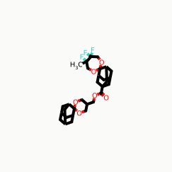 CC1(F)COC2(OCC1(F)F)C1CC3CC2CC(C(=O)OCC2COC4(OC2)C2CC5CC(C2)CC4C5)(C3)C1